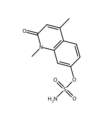 Cc1cc(=O)n(C)c2cc(OS(N)(=O)=O)ccc12